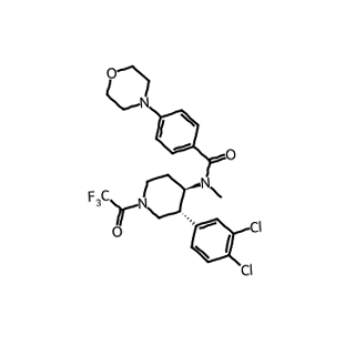 CN(C(=O)c1ccc(N2CCOCC2)cc1)[C@@H]1CCN(C(=O)C(F)(F)F)C[C@H]1c1ccc(Cl)c(Cl)c1